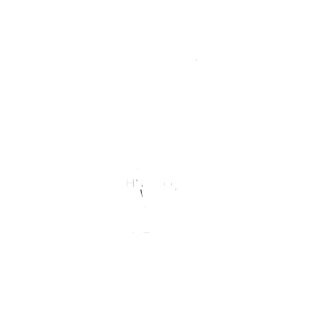 CC1[C@H](c2ccccc2)[C@]1(NS(=O)(=O)c1ccc2c(c1)Cc1cc(Cl)ccc1-2)C(=O)O